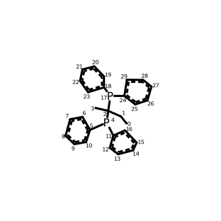 CCC(C)(P(c1ccccc1)c1ccccc1)P(c1ccccc1)c1ccccc1